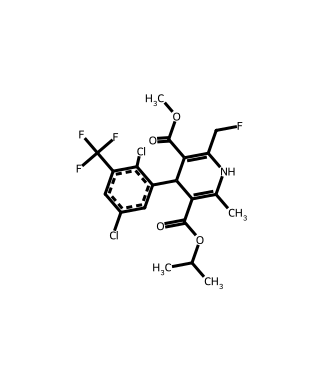 COC(=O)C1=C(CF)NC(C)=C(C(=O)OC(C)C)C1c1cc(Cl)cc(C(F)(F)F)c1Cl